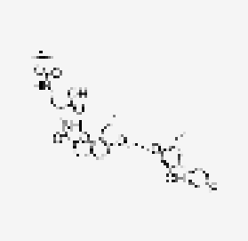 CCCc1c(OCCCOc2cc(O)c(-c3ccc(F)cc3)cc2CC)ccc2c1OC(C(=O)NCC(CCNC(=O)OC(C)(C)C)C(=O)O)CC2